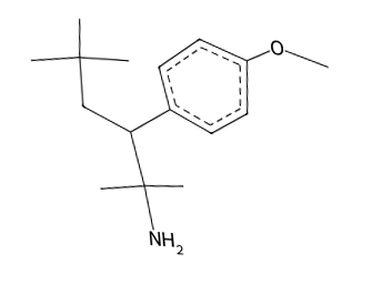 COc1ccc(C(CC(C)(C)C)C(C)(C)N)cc1